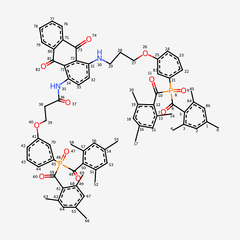 Cc1cc(C)c(C(=O)P(=O)(C(=O)c2c(C)cc(C)cc2C)c2cccc(OCCCNc3ccc(NC(=O)CCOc4cccc(P(=O)(C(=O)c5c(C)cc(C)cc5C)C(=O)c5c(C)cc(C)cc5C)c4)c4c3C(=O)c3ccccc3C4=O)c2)c(C)c1